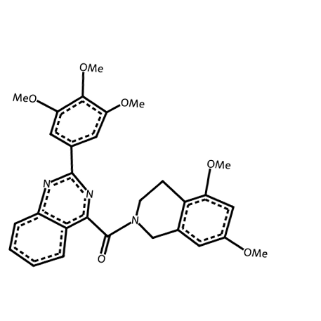 COc1cc2c(c(OC)c1)CCN(C(=O)c1nc(-c3cc(OC)c(OC)c(OC)c3)nc3ccccc13)C2